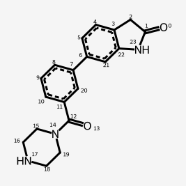 O=C1Cc2ccc(-c3cccc(C(=O)N4CCNCC4)c3)cc2N1